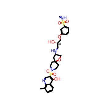 CNS(=O)(=O)c1cccc(OC[C@@H](O)CNC2COC3(CCN(S(=O)(=O)c4cnc5c(C)cccc5c4O)CC3)C2)c1